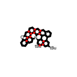 CC(C)(C)c1cc(-c2cccc3cccc(-c4ccccc4N(c4ccccc4-c4ccccc4)c4ccccc4-c4ccc5oc6ccccc6c5c4)c23)cc(C(C)(C)C)c1